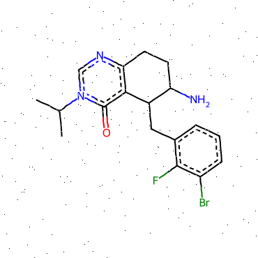 CC(C)n1cnc2c(c1=O)C(Cc1cccc(Br)c1F)C(N)CC2